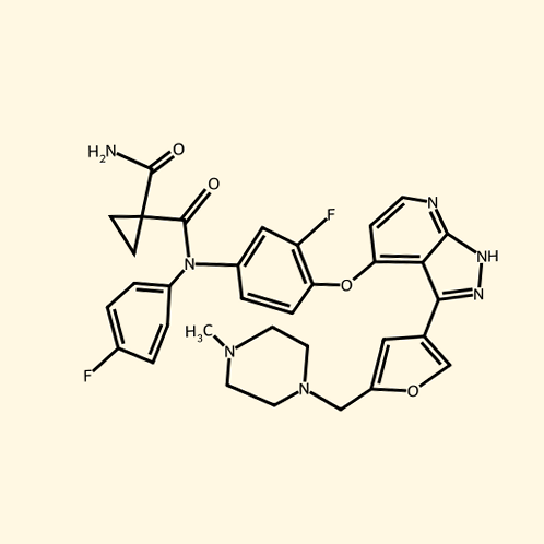 CN1CCN(Cc2cc(-c3n[nH]c4nccc(Oc5ccc(N(C(=O)C6(C(N)=O)CC6)c6ccc(F)cc6)cc5F)c34)co2)CC1